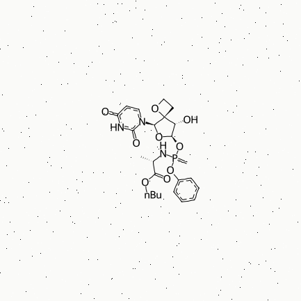 C=P(N[C@@H](C)C(=O)OCCCC)(Oc1ccccc1)O[C@H]1O[C@@H](n2ccc(=O)[nH]c2=O)[C@@]2(CCO2)[C@@H]1O